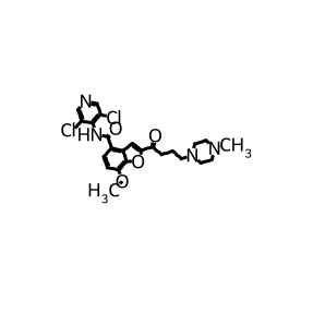 COc1ccc(C(=O)Nc2c(Cl)cncc2Cl)c2cc(C(=O)CCCN3CCN(C)CC3)oc12